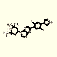 CC1(C)CC(n2cnc3nc(-c4cc(F)c(-c5cn[nH]c5)cc4F)cnc32)CC(C)(C)N1